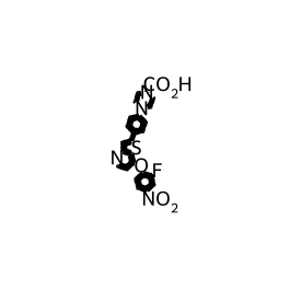 O=C(O)N1CCN(c2ccc(-c3cc4nccc(Oc5ccc([N+](=O)[O-])cc5F)c4s3)cc2)CC1